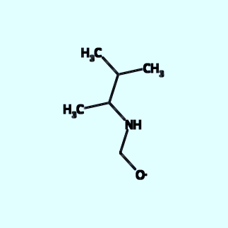 CC(C)C(C)NC[O]